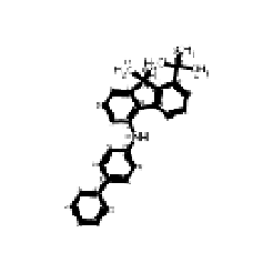 CC(C)(C)c1cccc2c1C(C)(C)c1cccc(Nc3ccc(-c4ccccc4)cc3)c1-2